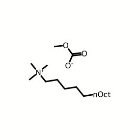 CCCCCCCCCCCCC[N+](C)(C)C.COC(=O)[O-]